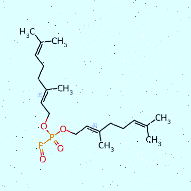 CC(C)=CCC/C(C)=C/COP(=O)(OC/C=C(\C)CCC=C(C)C)P=O